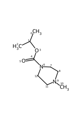 CC(C)OC(=O)N1CCN(C)CC1